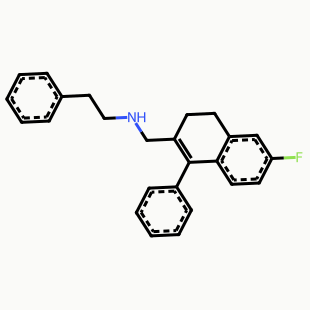 Fc1ccc2c(c1)CCC(CNCCc1ccccc1)=C2c1ccccc1